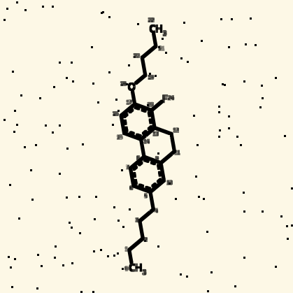 CCCCCc1ccc2c(c1)CCc1c-2ccc(OCCCC)c1F